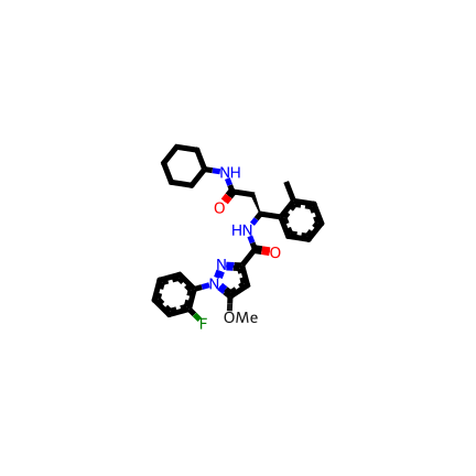 COc1cc(C(=O)N[C@@H](CC(=O)NC2CCCCC2)c2ccccc2C)nn1-c1ccccc1F